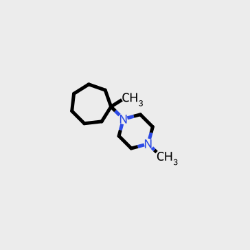 CN1CCN(C2(C)CCCCCC2)CC1